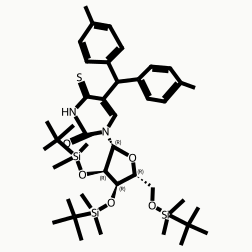 Cc1ccc(C(c2ccc(C)cc2)c2cn([C@@H]3O[C@H](CO[Si](C)(C)C(C)(C)C)[C@@H](O[Si](C)(C)C(C)(C)C)[C@H]3O[Si](C)(C)C(C)(C)C)c(=O)[nH]c2=S)cc1